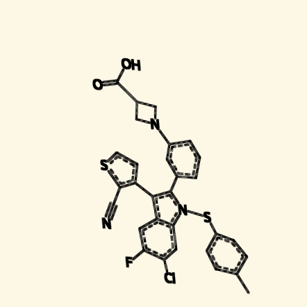 Cc1ccc(Sn2c(-c3cccc(N4CC(C(=O)O)C4)c3)c(-c3ccsc3C#N)c3cc(F)c(Cl)cc32)cc1